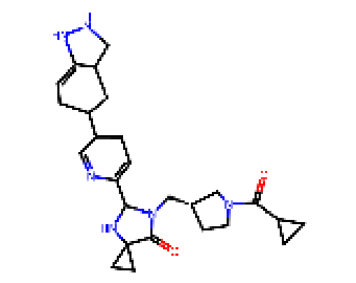 O=C(C1CC1)N1CC[C@@H](CN2C(=O)C3(CC3)NC2C2=CCC(C3CC=C4NNCC4C3)C=N2)C1